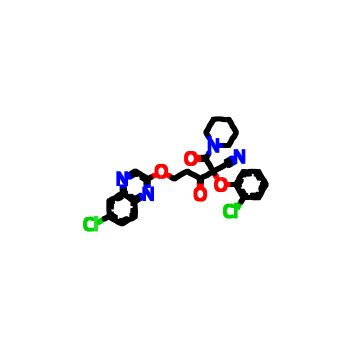 N#CC(Oc1ccccc1Cl)(C(=O)CCOc1cnc2cc(Cl)ccc2n1)C(=O)N1CCCCC1